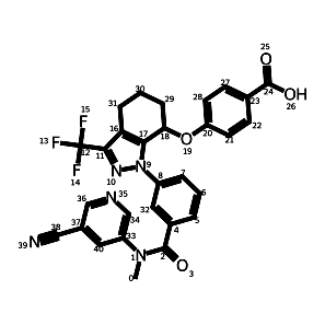 CN(C(=O)c1cccc(-n2nc(C(F)(F)F)c3c2C(Oc2ccc(C(=O)O)cc2)CCC3)c1)c1cncc(C#N)c1